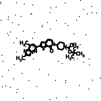 Cc1cn2nc(-c3cc4ccn(C5CCN(C(=O)OC(C)(C)C)CC5)c(=O)c4s3)cc(C)c2n1